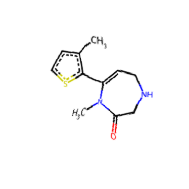 Cc1ccsc1C1=CCNCC(=O)N1C